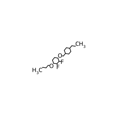 CCCCOC1CCC(OCC2CCC(CCC)CC2)C(F)C1F